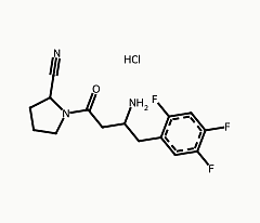 Cl.N#CC1CCCN1C(=O)CC(N)Cc1cc(F)c(F)cc1F